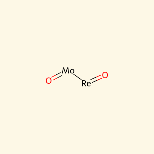 [O]=[Mo][Re]=[O]